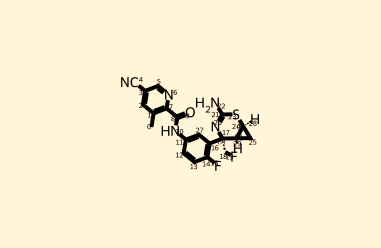 Cc1cc(C#N)cnc1C(=O)Nc1ccc(F)c([C@@]2(CF)N=C(N)S[C@H]3C[C@H]32)c1